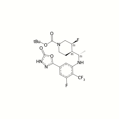 C[C@H](Nc1cc(-c2n[nH]c(=O)o2)cc(F)c1C(F)(F)F)[C@H]1CCN(C(=O)OC(C)(C)C)C[C@H]1F